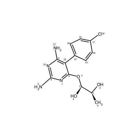 C[C@H](O)[C@@H](O)Oc1nc(N)nc(N)c1-c1ccc(Cl)cc1